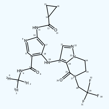 [2H]C([2H])([2H])NC(=O)c1cnc(NC(=O)C2CC2)cc1Nc1cnn2c1C(=O)N(CC(F)(F)F)CC2